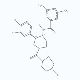 CC(=O)N1CCC(C(=O)N2CC[C@@H](N(C)C(=O)c3cc(C(F)(F)F)cc(C(F)(F)F)c3)[C@H](c3ccc(F)c(F)c3)C2)CC1